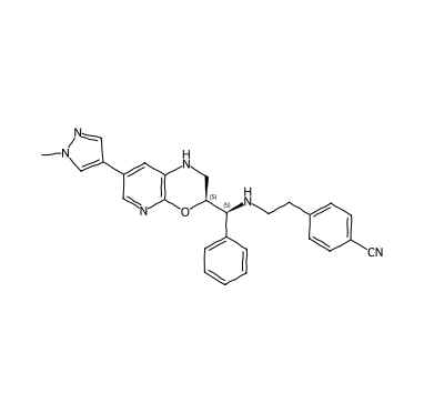 Cn1cc(-c2cnc3c(c2)NC[C@@H]([C@@H](NCCc2ccc(C#N)cc2)c2ccccc2)O3)cn1